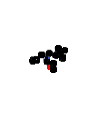 c1ccc(-c2c(-c3ccccc3)c3cc(-c4cccc(N(c5cccc(-c6ccc7ccccc7c6)c5)c5cccc(-c6cccc7c6oc6ccccc67)c5)c4)ccc3c3ccccc23)cc1